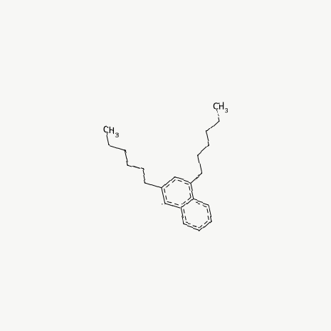 CCCCCCc1[c]c2ccccc2c(CCCCCC)c1